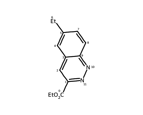 CCOC(=O)c1cc2cc(CC)ccc2nn1